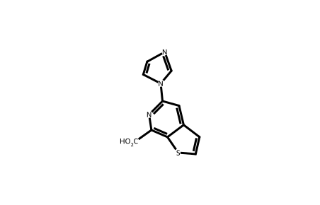 O=C(O)c1nc(-n2ccnc2)cc2ccsc12